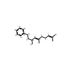 CC(C)=CCC/C(C)=C/C(C)CCc1ccccc1